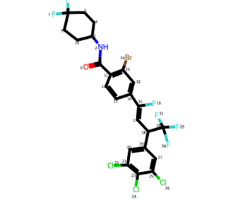 O=C(NC1CCC(F)(F)CC1)c1ccc(C(F)=CC(c2cc(Cl)c(Cl)c(Cl)c2)C(F)(F)F)cc1Br